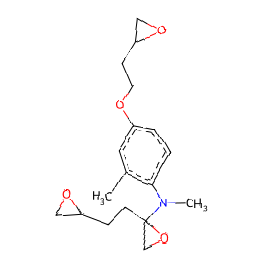 Cc1cc(OCCC2CO2)ccc1N(C)C1(CCC2CO2)CO1